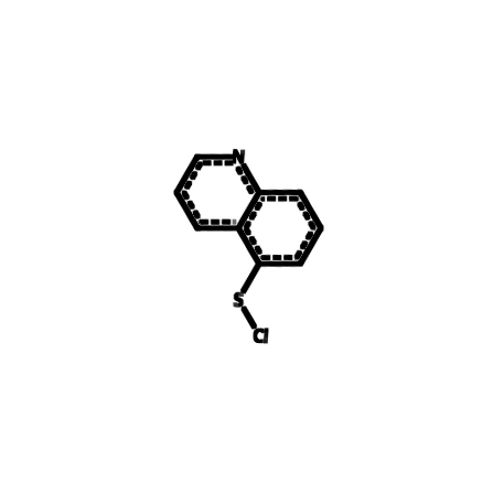 ClSc1cccc2ncccc12